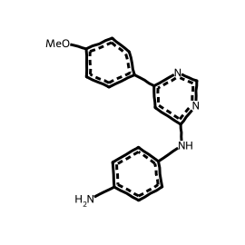 COc1ccc(-c2cc(Nc3ccc(N)cc3)ncn2)cc1